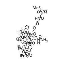 C=C(NC(CCCNC(N)=O)C(=O)Nc1ccc(COC(=O)N(C)C(C(=O)OC(C(=O)N(C)[C@@H]([C@@H](C)CC)[C@@H](CC(=O)N2CCCC2[C@@H](OC)[C@H](C)C(=O)N[C@@H](C)[C@H](O)c2ccccc2)OC)C(C)C)C(C)C)cc1)C(NC(=O)CCOCCOCCNC(=O)CCN1C(=O)CC(SC)C1=O)C(C)C